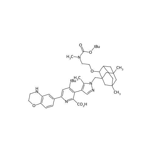 Cc1c(-c2c(C(C)(C)C)cc(-c3ccc4c(c3)NCCO4)nc2C(=O)O)cnn1CC12CC3(C)CC(CC(C)(C3)C1)C2OCCN(C)C(=O)OC(C)(C)C